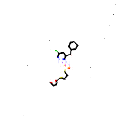 O=C(c1ccccc1)c1cc(Cl)cnc1NS(=O)(=O)c1ccc(-c2ccco2)s1